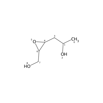 CC(O)CC1OC1CO